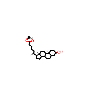 C[C@H](CCCCC(=O)OC(C)(C)C)C1CCC2C3CCC4C[C@H](O)CC[C@]4(C)C3CC[C@@]21C